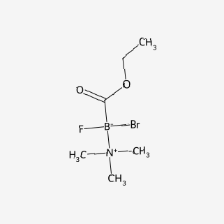 CCOC(=O)[B-](F)(Br)[N+](C)(C)C